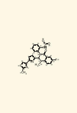 Cc1nc(-c2ccc(C3N(C)c4ccc(F)cc4C(=O)N3c3ccccc3N[SH](=O)=O)s2)cs1